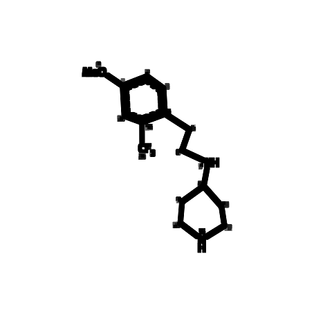 COc1ccc(CCNC2CCNCC2)c(C(F)(F)F)c1